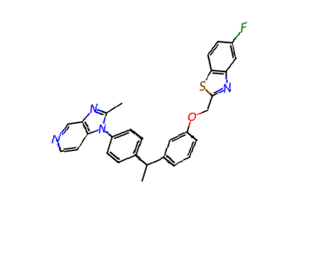 Cc1nc2cnccc2n1-c1ccc(C(C)c2cccc(OCc3nc4cc(F)ccc4s3)c2)cc1